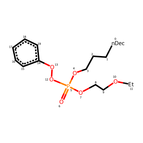 CCCCCCCCCCCCCOP(=O)(OCCOCC)OOc1ccccc1